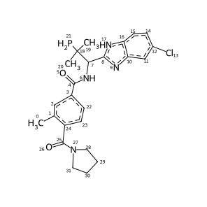 Cc1cc(C(=O)NC(c2nc3cc(Cl)ccc3[nH]2)C(C)(C)P)ccc1C(=O)N1CCCC1